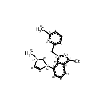 CCc1nn(Cc2cccc(C)n2)c2c(N3C=CN(C)C3)cccc12